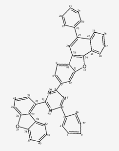 c1ccc(-c2nc(-c3ccc4c(c3)oc3c5ccccc5c(-c5ccccc5)cc43)nc(-c3cccc4oc5ccccc5c34)n2)cc1